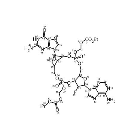 CCOC(=O)OCOP1(=O)OCC2OC(n3cnc4c(N)ncnc43)C(F)C2OP(=O)(OCOC(=O)OC(C)C)OCC2OC(n3cnc4c(=O)[nH]c(N)nc43)C(O1)C2O